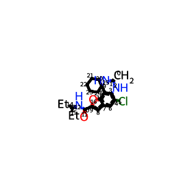 C=C1Nc2c(Cl)cc3cc(C(=O)NC(CC)CC)oc3c2C2(CCCCC2)N1